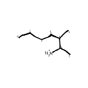 CCCC[C](C)C(C)N